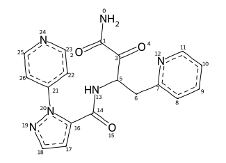 NC(=O)C(=O)C(Cc1ccccn1)NC(=O)c1ccnn1-c1ccncc1